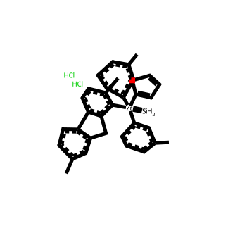 Cc1ccc[c]([Zr](=[SiH2])([C]2=CC=CC2)([c]2cccc(C)c2)[c]2c(C)ccc3c2Cc2cc(C)ccc2-3)c1.Cl.Cl